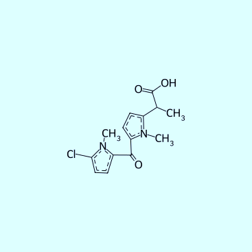 CC(C(=O)O)c1ccc(C(=O)c2ccc(Cl)n2C)n1C